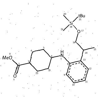 COC(=O)C1CCC(Nc2ccccc2C(C)CO[Si](C)(C)C(C)(C)C)CC1